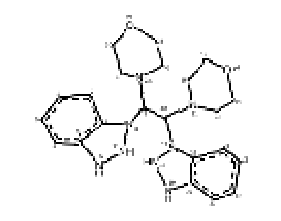 c1ccc2c(c1)NNN2C(C(N1CCOCC1)N1NNc2ccccc21)N1CCOCC1